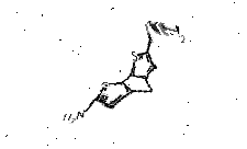 Nc1cc2c(s1)-c1sc(N)cc1C2